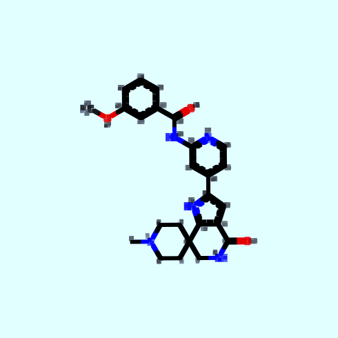 CN1CCC2(CC1)CNC(=O)c1cc(-c3ccnc(NC(=O)c4cccc(OC(F)(F)F)c4)c3)[nH]c12